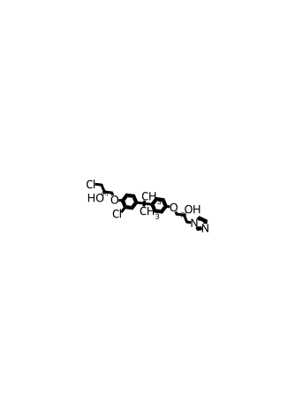 CC(C)(c1ccc(OC[C@@H](O)Cn2ccnc2)cc1)c1ccc(OC[C@@H](O)CCl)c(Cl)c1